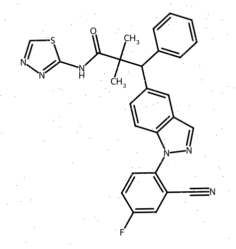 CC(C)(C(=O)Nc1nncs1)C(c1ccccc1)c1ccc2c(cnn2-c2ccc(F)cc2C#N)c1